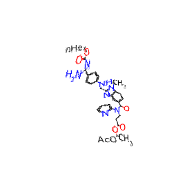 CCCCCCOC(=O)/N=C(\N)c1ccc(NCc2nc3cc(C(=O)N(CCC(=O)OC(C)OC(C)=O)c4ccccn4)ccc3n2C)cc1